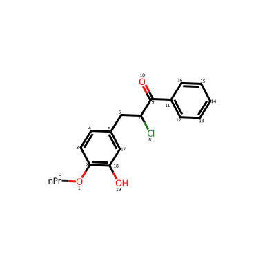 CCCOc1ccc(CC(Cl)C(=O)c2ccccc2)cc1O